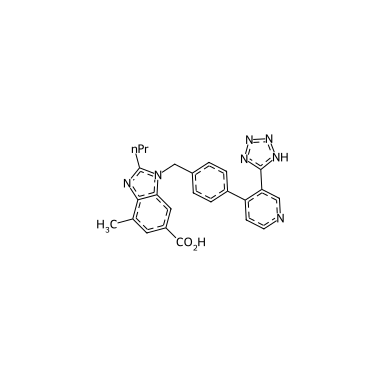 CCCc1nc2c(C)cc(C(=O)O)cc2n1Cc1ccc(-c2ccncc2-c2nnn[nH]2)cc1